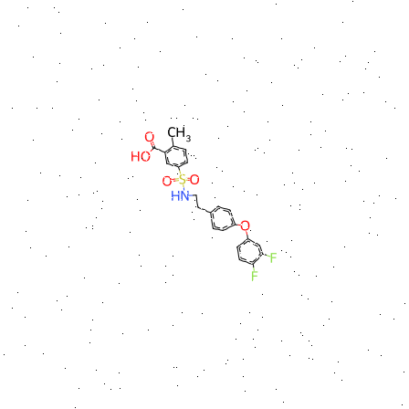 Cc1ccc(S(=O)(=O)NCCc2ccc(Oc3ccc(F)c(F)c3)cc2)cc1C(=O)O